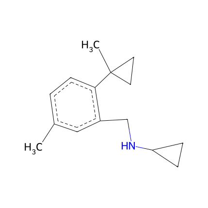 Cc1ccc(C2(C)CC2)c(CNC2CC2)c1